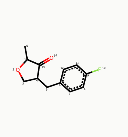 CC1OCC(Cc2ccc(F)cc2)C1=O